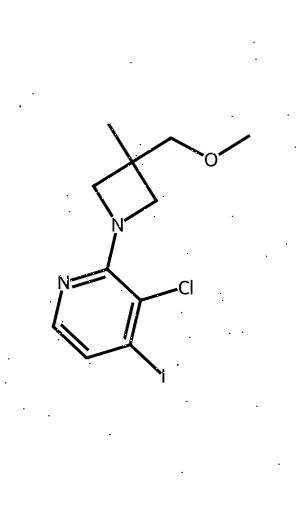 COCC1(C)CN(c2nccc(I)c2Cl)C1